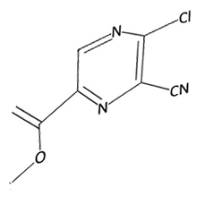 C=C(OCC)c1cnc(Cl)c(C#N)n1